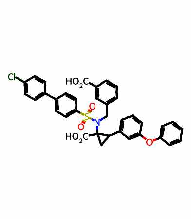 O=C(O)c1cccc(CN(C2(C(=O)O)CC2c2cccc(Oc3ccccc3)c2)S(=O)(=O)c2ccc(-c3ccc(Cl)cc3)cc2)c1